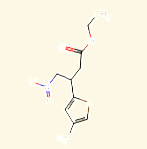 CCOC(=O)CC(C[N+](=O)[O-])c1cc(C)cs1